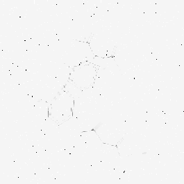 CC(=O)CC(C)=O.CC(=O)CC(C)=O.[Fe].c1ccncc1.c1ccncc1